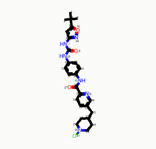 CC(C)(C)c1cc(NC(=O)Nc2ccc(NC(=O)c3ccc(CC4CCN(Cl)CC4)cn3)cc2)no1